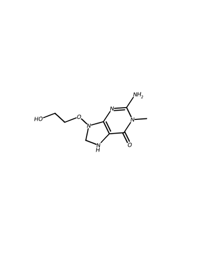 Cn1c(N)nc2c(c1=O)NCN2OCCO